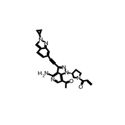 C=CC(=O)N1CC[C@H](n2nc(C#Cc3ccc4cn(C5CC5)nc4c3)c3c(N)ncc(C(C)=O)c32)C1